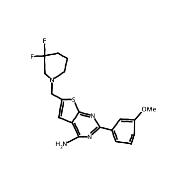 COc1cccc(-c2nc(N)c3cc(CN4CCCC(F)(F)C4)sc3n2)c1